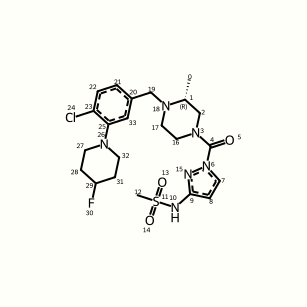 C[C@@H]1CN(C(=O)n2ccc(NS(C)(=O)=O)n2)CCN1Cc1ccc(Cl)c(N2CCC(F)CC2)c1